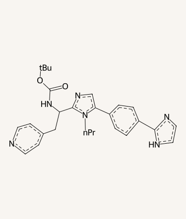 CCCn1c(-c2ccc(-c3ncc[nH]3)cc2)cnc1C(Cc1ccncc1)NC(=O)OC(C)(C)C